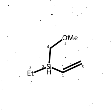 C=C[SiH](CC)COC